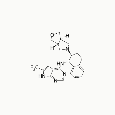 FC(F)(F)c1cc2c(N[C@H]3c4ccccc4CC[C@@H]3N3C[C@@H]4COC[C@H]4C3)ncnc2[nH]1